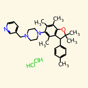 Cc1ccc(C2c3c(C)c(N4CCN(Cc5cccnc5)CC4)c(C)c(C)c3OC2(C)C)cc1.Cl.Cl